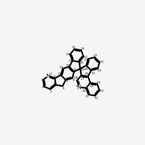 c1cnc2c(c1)Cc1cc3c(cc1-2)-c1ccccc1C31c2ccccc2-c2c1cnc1ccccc21